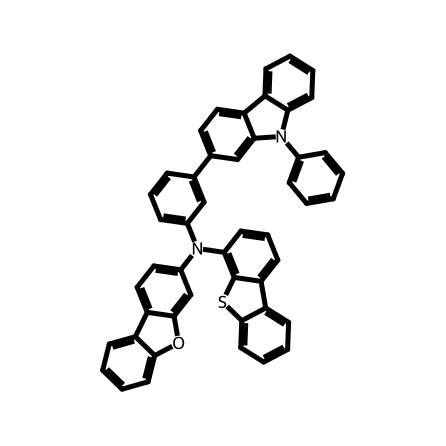 c1ccc(-n2c3ccccc3c3ccc(-c4cccc(N(c5ccc6c(c5)oc5ccccc56)c5cccc6c5sc5ccccc56)c4)cc32)cc1